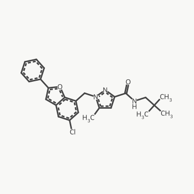 Cc1cc(C(=O)NCC(C)(C)C)nn1Cc1cc(Cl)cc2cc(-c3ccccc3)oc12